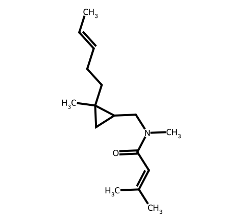 C/C=C/CCC1(C)CC1CN(C)C(=O)C=C(C)C